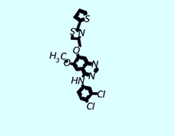 COc1cc2c(Nc3ccc(Cl)c(Cl)c3)ncnc2cc1OCC1CSC(c2cccs2)=N1